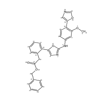 COc1cc(Nc2ncc(-c3ccccc3CC(=O)OCc3ccccc3)o2)ccc1-c1cnco1